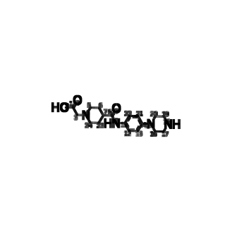 O=C(O)CN1CCC(C(=O)Nc2ccc(N3CCNCC3)cc2)CC1